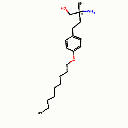 CC(C)CCCCCCCCOc1ccc(CC[C@@](N)(CO)C(C)(C)C)cc1